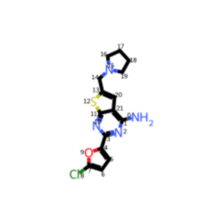 Nc1nc(-c2ccc(Cl)o2)nc2sc(CN3CCCC3)cc12